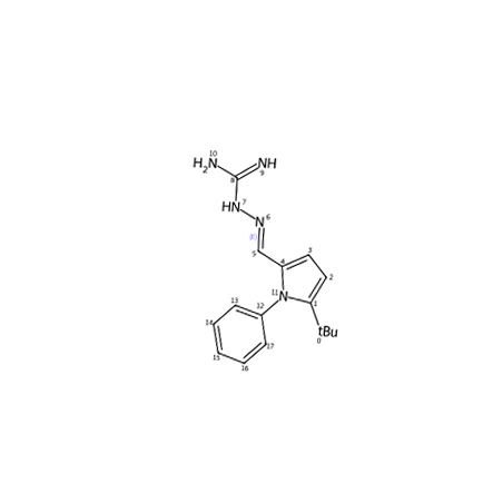 CC(C)(C)c1ccc(/C=N/NC(=N)N)n1-c1ccccc1